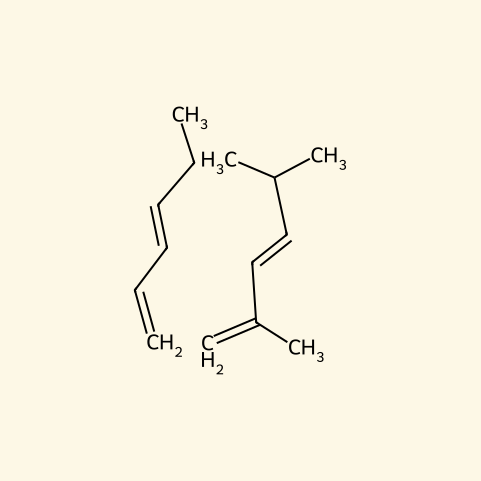 C=C(C)C=CC(C)C.C=CC=CCC